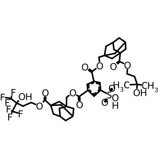 CC(C)(O)CCOC(=O)C12CC3CC(CC(COC(=O)c4cc(C(=O)OCC56CC7CC(C5)CC(C(=O)OCCC(O)(C(F)(F)F)C(F)(F)F)(C7)C6)cc(S(=O)(=O)O)c4)(C3)C1)C2